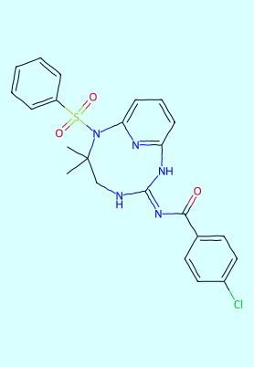 CC1(C)CN/C(=N/C(=O)c2ccc(Cl)cc2)Nc2cccc(n2)N1S(=O)(=O)c1ccccc1